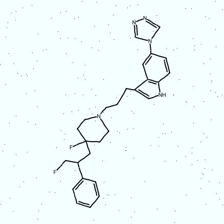 FCC(CC1(F)CCN(CCCc2c[nH]c3ccc(-n4cnnc4)cc23)CC1)c1ccccc1